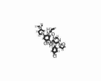 C=CC(=O)Nc1cc(Nc2cc(N3OCC[C@@H]3c3cccc(Cl)c3)ncn2)c(OC)cc1N1CC[C@H](N(C)C)C1